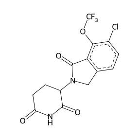 O=C1CCC(N2Cc3ccc(Cl)c(OC(F)(F)F)c3C2=O)C(=O)N1